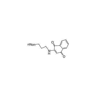 CCCCCCCCCCCCNC1=CC(=O)c2ccccc2C1=O